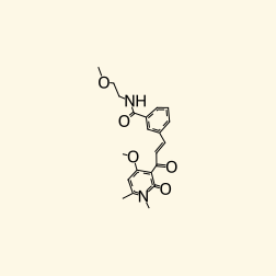 COCCNC(=O)c1cccc(C=CC(=O)c2c(OC)cc(C)n(C)c2=O)c1